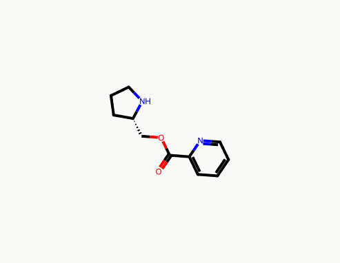 O=C(OC[C@@H]1CCCN1)c1ccccn1